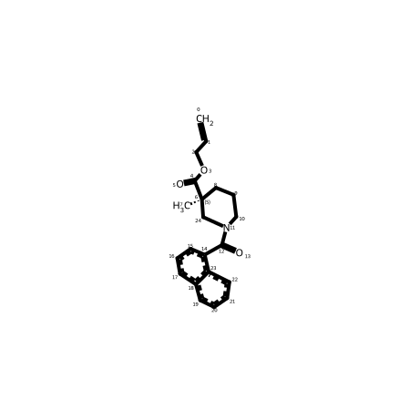 C=CCOC(=O)[C@@]1(C)CCCN(C(=O)c2cccc3ccccc23)C1